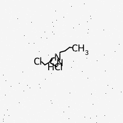 CCCCn1cc(CCl)cn1.Cl